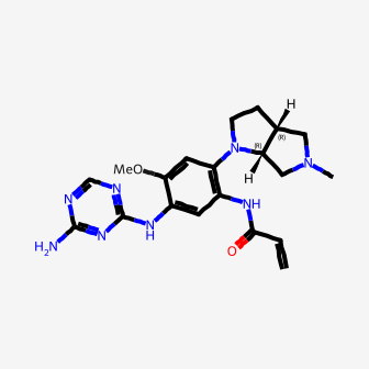 C=CC(=O)Nc1cc(Nc2ncnc(N)n2)c(OC)cc1N1CC[C@@H]2CN(C)C[C@@H]21